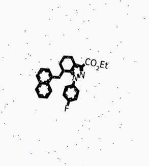 CCOC(=O)c1nn(-c2ccc(F)cc2)c2c1CCCC2Cc1cccc2ccccc12